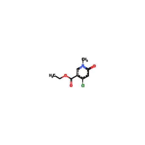 CCOC(=O)c1cn(C)c(=O)cc1Cl